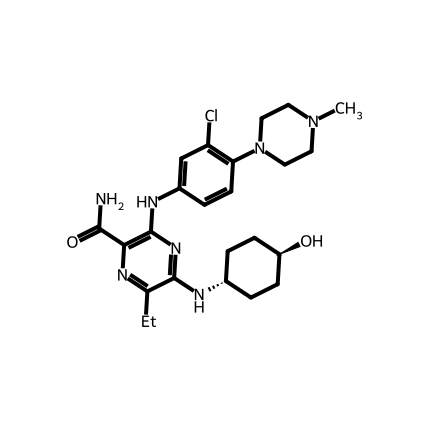 CCc1nc(C(N)=O)c(Nc2ccc(N3CCN(C)CC3)c(Cl)c2)nc1N[C@H]1CC[C@H](O)CC1